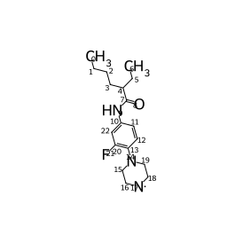 CCCCC(CC)C(=O)Nc1ccc(N2CC[N]CC2)c(F)c1